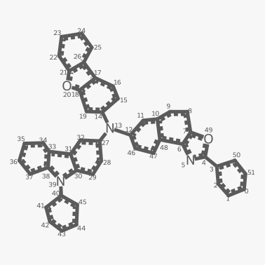 c1ccc(-c2nc3c(ccc4cc(N(c5ccc6c(c5)oc5ccccc56)c5ccc6c(c5)c5ccccc5n6-c5ccccc5)ccc43)o2)cc1